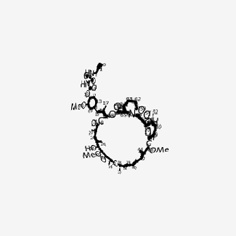 C#CCNS(=O)(=O)NC(=O)O[C@@H]1CC[C@@H](C[C@@H](C)[C@@H]2CC(=O)[C@H](C)/C=C(\C)[C@@H](O)[C@@H](OC)C(=O)[C@H](C)C[C@H](C)/C=C/C=C/C=C(\C)[C@@H](OC)C[C@@H]3CC[C@@H](C)[C@@](O)(O3)C(=O)C(=O)N3CCCC[C@H]3C(=O)O2)C[C@H]1OC